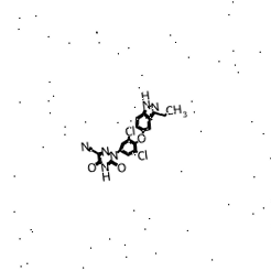 CCc1n[nH]c2ccc(Oc3c(Cl)cc(-n4nc(C#N)c(=O)[nH]c4=O)cc3Cl)cc12